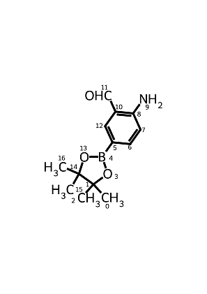 CC1(C)OB(c2ccc(N)c(C=O)c2)OC1(C)C